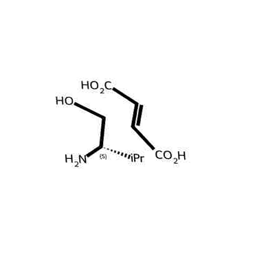 CC(C)[C@H](N)CO.O=C(O)C=CC(=O)O